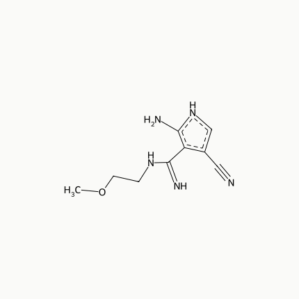 COCCNC(=N)c1c(C#N)c[nH]c1N